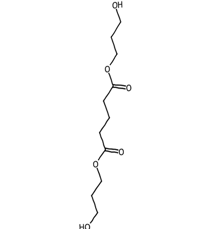 O=C(CCCC(=O)OCCCO)OCCCO